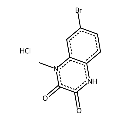 Cl.Cn1c(=O)c(=O)[nH]c2ccc(Br)cc21